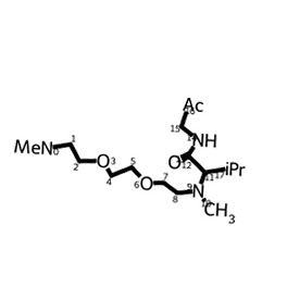 CNCCOCCOCCN(C)C(C(=O)NCC(C)=O)C(C)C